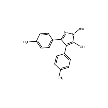 Cc1ccc(-c2nn(C(C)(C)C)c(O)c2-c2ccc(C)cc2)cc1